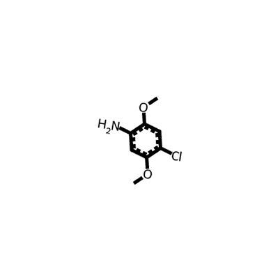 COc1cc(Cl)c(OC)cc1N